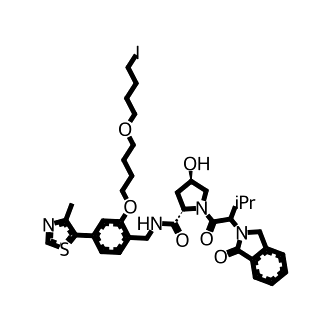 Cc1ncsc1-c1ccc(CNC(=O)[C@@H]2C[C@@H](O)CN2C(=O)C(C(C)C)N2Cc3ccccc3C2=O)c(OCCCCOCCCCI)c1